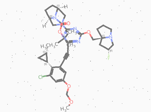 COCOc1cc(Cl)c([C@@H]2C[C@@H]2C)c(C#Cc2nc(OC[C@@]34CCCN3C[C@H](F)C4)nc(N3C[C@H]4CC[C@@H](C3)N4C(=O)OC(C)(C)C)n2)c1